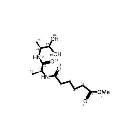 COC(=O)CCCCC(=O)N[C@@H](C)C(=O)N[C@@H](C)C(O)O